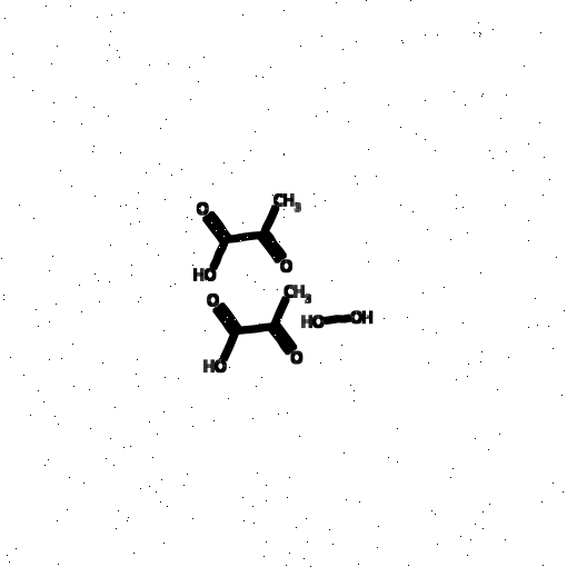 CC(=O)C(=O)O.CC(=O)C(=O)O.OO